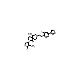 CC1=C(N2CCC3(CCN(CCc4nnc(-n5cnnn5)cc4C)CC3O)C2=O)COC1=O